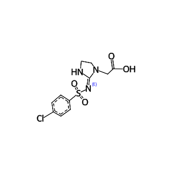 O=C(O)CN1CCN/C1=N\S(=O)(=O)c1ccc(Cl)cc1